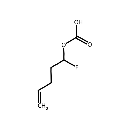 C=CCCC(F)OC(=O)O